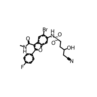 CNC(=O)c1c(-c2ccc(F)cc2)oc2cc(NS(=O)(=O)CCC(O)CC#N)c(Br)cc12